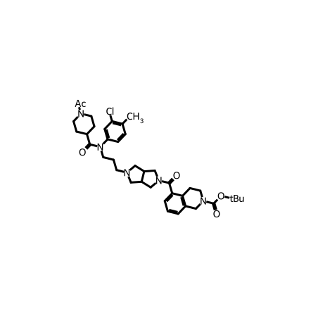 CC(=O)N1CCC(C(=O)N(CCCN2CC3CN(C(=O)c4cccc5c4CCN(C(=O)OC(C)(C)C)C5)CC3C2)c2ccc(C)c(Cl)c2)CC1